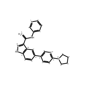 C=C(Nc1cccnc1)c1n[nH]c2ccc(-c3ccc(N4CCCC4)nc3)cc12